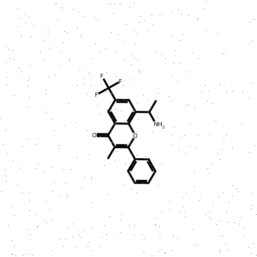 Cc1c(-c2ccccc2)oc2c(C(C)N)cc(C(F)(F)F)cc2c1=O